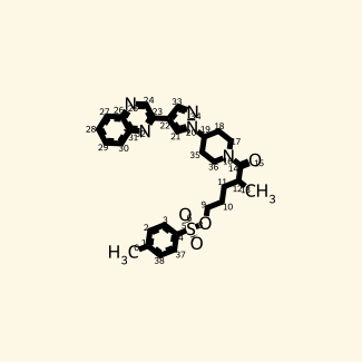 Cc1ccc(S(=O)(=O)OCCCC(C)C(=O)N2CCC(n3cc(-c4cnc5ccccc5n4)cn3)CC2)cc1